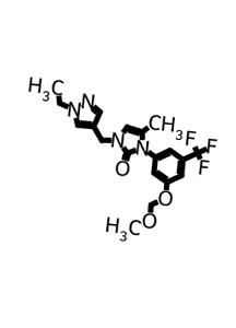 CCn1cc(Cn2cc(C)n(-c3cc(OCOC)cc(C(F)(F)F)c3)c2=O)cn1